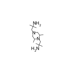 CC1CN(CC(C)(C)N)CC(C)N1CC(C)(C)N